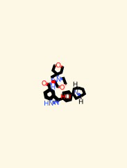 O=C(NCC1(N2CCOCC2)CCOCC1)c1ccc2[nH]nc(-c3ccc(N4[C@@H]5CC[C@H]4C[C@@H](O)C5)cc3)c2c1